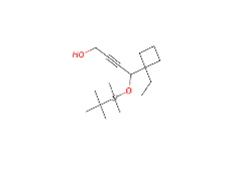 CCC1(C(C#CCO)O[Si](C)(C)C(C)(C)C)CCC1